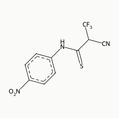 N#CC(C(=S)Nc1ccc([N+](=O)[O-])cc1)C(F)(F)F